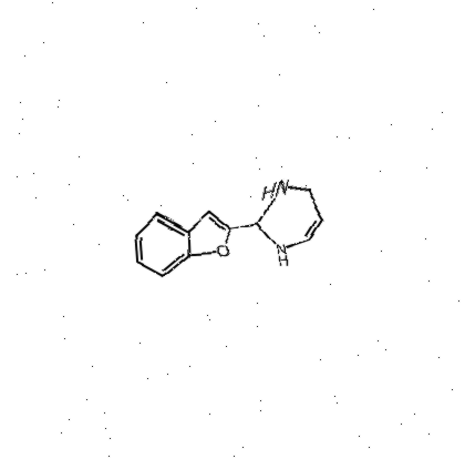 C1=CNC(c2cc3ccccc3o2)NC1